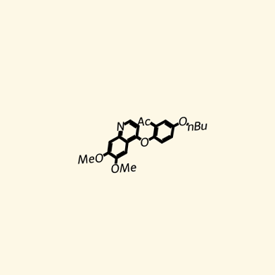 CCCCOc1ccc(Oc2ccnc3cc(OC)c(OC)cc23)c(C(C)=O)c1